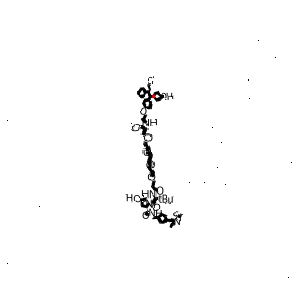 Cc1ncsc1-c1ccc(CNC(=O)[C@@H]2C[C@@H](O)CN2C(=O)C(NC(=O)CCOCCOCCOCCOCCC(=O)NCCOc2ccc(C(=C(CCCl)c3ccccc3)c3ccc(O)cc3)cc2)C(C)(C)C)cc1